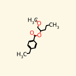 CCCC(COC)OC(=O)c1ccc(CC)cc1